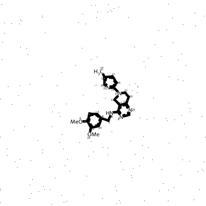 COc1ccc(CNc2ncnc3c2CN(c2ccc(C)cn2)CC3)cc1OC